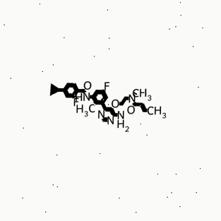 CC=CC(=O)N(C)CCOc1c(N)ncnc1-c1cc(F)cc(NC(=O)c2ccc(C3CC3)cc2F)c1C